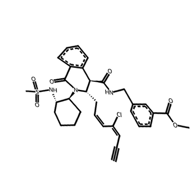 C#C/C=C(Cl)\C=C/C[C@H]1[C@H](C(=O)NCc2cccc(C(=O)OC)c2)c2ccccc2C(=O)N1[C@H]1CCCC[C@@H]1NS(C)(=O)=O